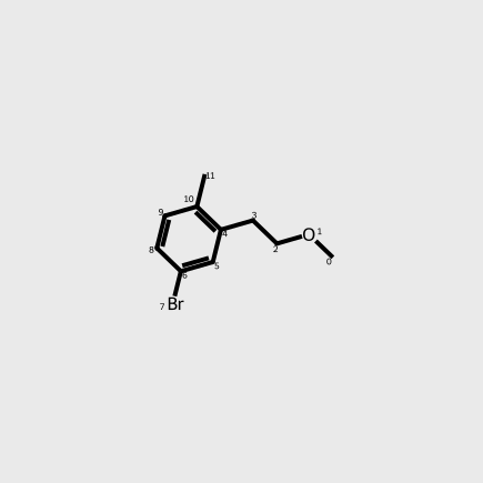 COCCc1cc(Br)ccc1C